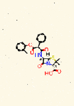 Cc1ccccc1OC(=O)C(C(=O)N[C@@H]1C(=O)N2[C@@H]1SC(C)(C)[C@@H]2C(=O)O)c1ccccc1